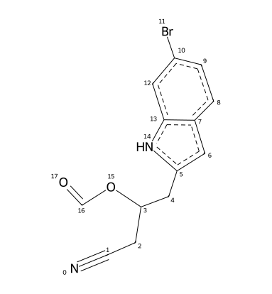 N#CCC(Cc1cc2ccc(Br)cc2[nH]1)OC=O